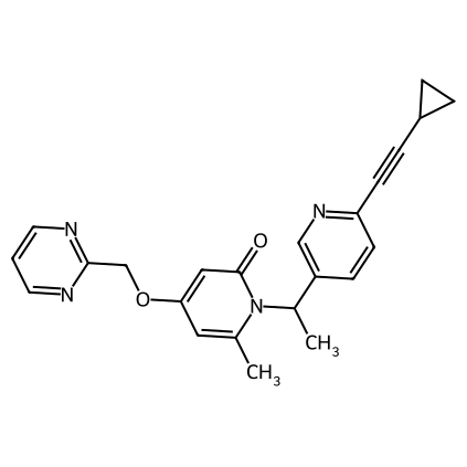 Cc1cc(OCc2ncccn2)cc(=O)n1C(C)c1ccc(C#CC2CC2)nc1